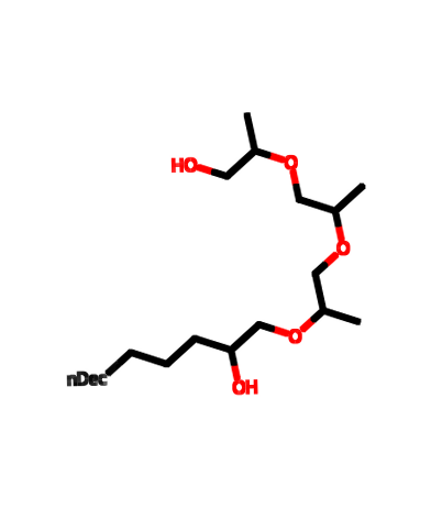 CCCCCCCCCCCCCC(O)COC(C)COC(C)COC(C)CO